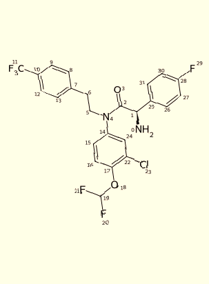 N[C@@H](C(=O)N(CCc1ccc(C(F)(F)F)cc1)c1ccc(OC(F)F)c(Cl)c1)c1ccc(F)cc1